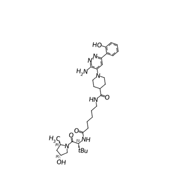 C[C@@H]1C[C@@H](O)CN1C(=O)[C@@H](NC(=O)CCCCCNC(=O)C1CCN(c2cc(-c3ccccc3O)nnc2N)CC1)C(C)(C)C